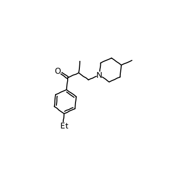 CCc1ccc(C(=O)C(C)CN2CCC(C)CC2)cc1